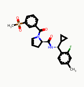 Cc1ccc([C@H](NC(=O)[C@H]2CC=CN2C(=O)c2cccc(S(C)(=O)=O)c2)C2CC2)c(F)c1